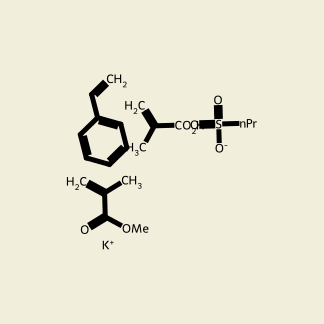 C=C(C)C(=O)O.C=C(C)C(=O)OC.C=Cc1ccccc1.CCCS(=O)(=O)[O-].[K+]